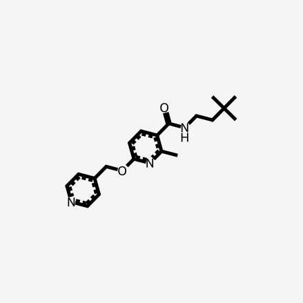 Cc1nc(OCc2ccncc2)ccc1C(=O)NCCC(C)(C)C